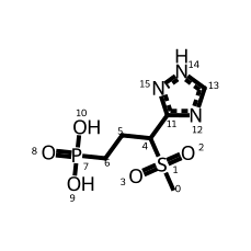 CS(=O)(=O)C(CCP(=O)(O)O)c1nc[nH]n1